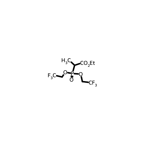 CCOC(=O)C(C)P(=O)(OCC(F)(F)F)OCC(F)(F)F